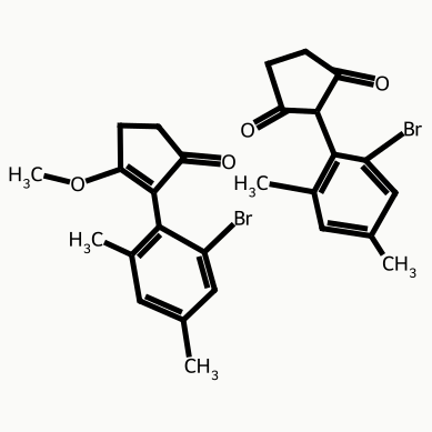 COC1=C(c2c(C)cc(C)cc2Br)C(=O)CC1.Cc1cc(C)c(C2C(=O)CCC2=O)c(Br)c1